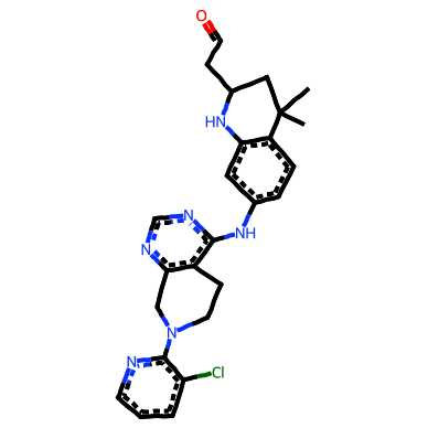 CC1(C)CC(CC=O)Nc2cc(Nc3ncnc4c3CCN(c3ncccc3Cl)C4)ccc21